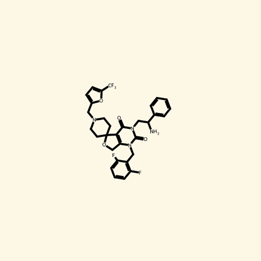 NC(Cn1c(=O)c2c(n(Cc3c(F)cccc3F)c1=O)COC21CCN(Cc2ccc(C(F)(F)F)o2)CC1)c1ccccc1